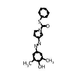 Cc1cc(/N=N/c2ccn(C(=O)Sc3ccccc3)c2)cc(C)c1O